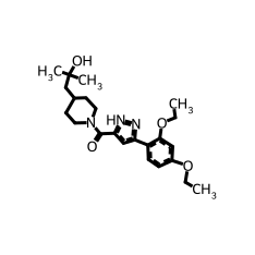 CCOc1ccc(-c2cc(C(=O)N3CCC(CC(C)(C)O)CC3)[nH]n2)c(OCC)c1